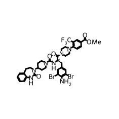 COC(=O)c1ccc(N2CCN(C(=O)[C@@H](Cc3cc(Br)c(N)c(Br)c3)NC(=O)N3CCC(N4CCc5ccccc5NC4=O)CC3)CC2)c(C(F)(F)F)c1